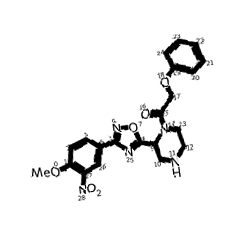 COc1ccc(-c2noc(C3CNCCN3C(=O)COc3ccccc3)n2)cc1[N+](=O)[O-]